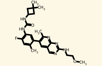 COCCNc1ncc2cc(-c3cc(NC(=O)NC4CC(C)(C)C4)c(F)cc3C)c(C)nc2n1